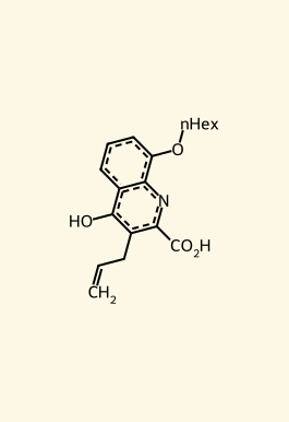 C=CCc1c(C(=O)O)nc2c(OCCCCCC)cccc2c1O